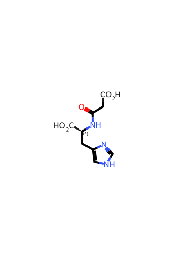 O=C(O)CC(=O)N[C@@H](Cc1c[nH]cn1)C(=O)O